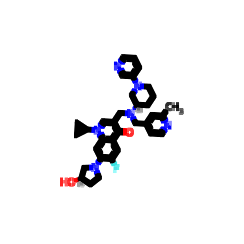 Cc1cc(CN(Cc2cn(C3CC3)c3cc(N4CC[C@@H](O)C4)c(F)cc3c2=O)[C@H]2CCCN(c3cccnc3)C2)ccn1